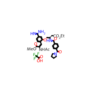 CCOC(=O)C[C@H](COc1cc(C(=N)N)ccc1C=C(NC(C)=O)C(=O)OC)NC(=O)c1ccc(C(=O)N2CCCC2)cc1.O=C(O)C(F)(F)F